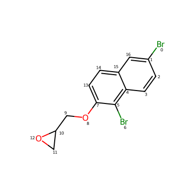 Brc1ccc2c(Br)c(OCC3CO3)ccc2c1